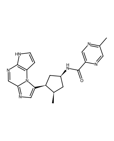 Cc1cnc(C(=O)N[C@H]2C[C@@H](C)[C@@H](c3cnc4cnc5[nH]ccc5n34)C2)cn1